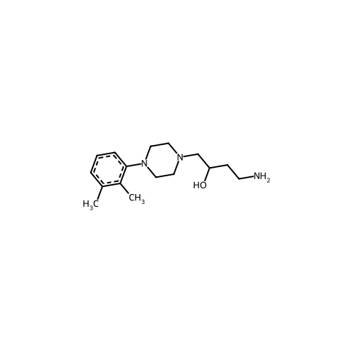 Cc1cccc(N2CCN(CC(O)CCN)CC2)c1C